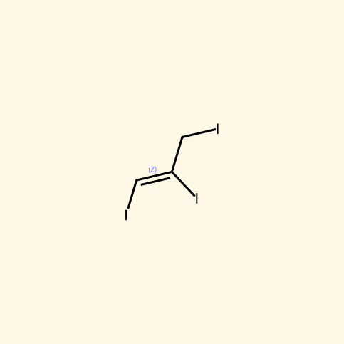 I/C=C(\I)CI